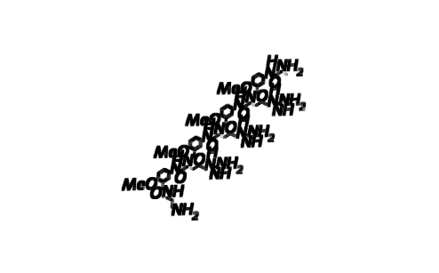 COc1ccc(NC(=O)[C@@H](CCCNC(=N)N)NC(=O)c2cc(NC(=O)[C@@H](CCCNC(=N)N)NC(=O)c3cc(NC(=O)[C@@H](CCCNC(=N)N)NC(=O)c4cc(NC(=O)[C@@H](C)N)ccc4OC)ccc3OC)ccc2OC)cc1C(=O)NCCCN